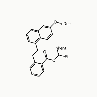 CCCCCCCCCCOc1ccc2c(CCc3ccccc3C(=O)OC(CC)CCCCC)cccc2c1